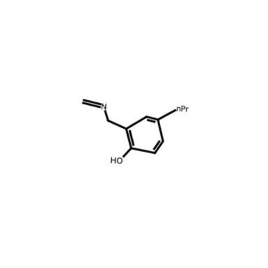 C=NCc1cc(CCC)ccc1O